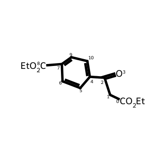 CCOC(=O)CC(=O)c1ccc(C(=O)OCC)cc1